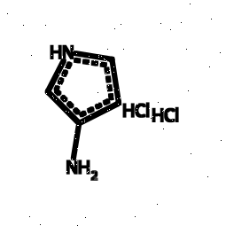 Cl.Cl.Nc1cc[nH]c1